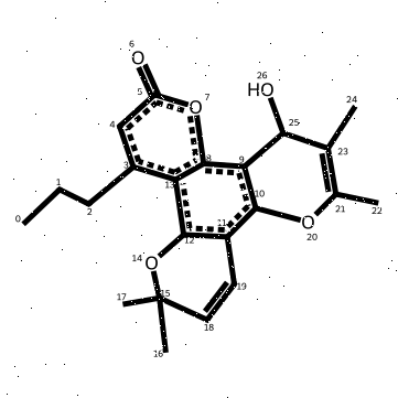 CCCc1cc(=O)oc2c3c(c4c(c12)OC(C)(C)C=C4)OC(C)=C(C)C3O